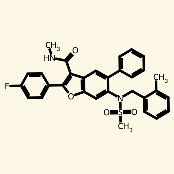 CNC(=O)c1c(-c2ccc(F)cc2)oc2cc(N(Cc3ccccc3C)S(C)(=O)=O)c(-c3ccccc3)cc12